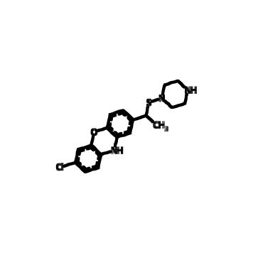 CC(SN1CCNCC1)c1ccc2c(c1)Nc1ccc(Cl)cc1O2